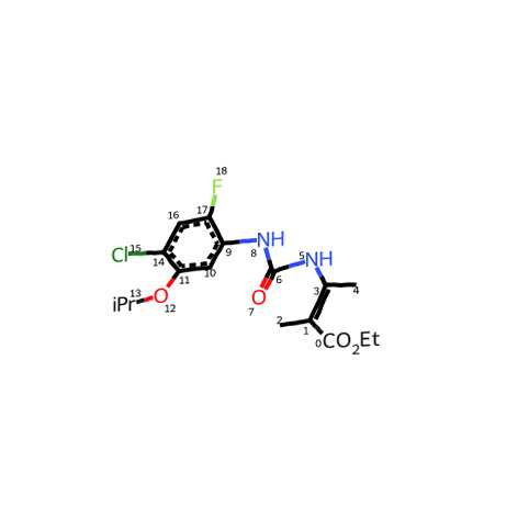 CCOC(=O)C(C)=C(C)NC(=O)Nc1cc(OC(C)C)c(Cl)cc1F